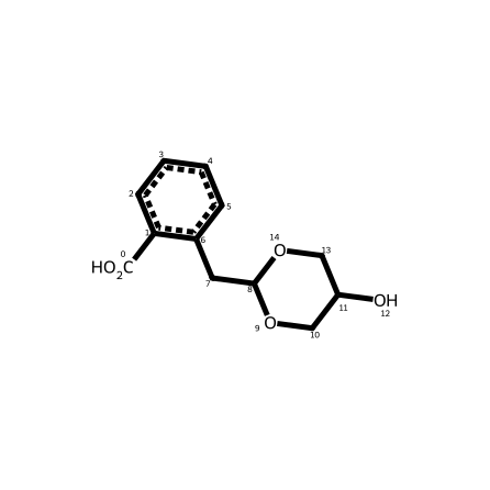 O=C(O)c1ccccc1CC1OCC(O)CO1